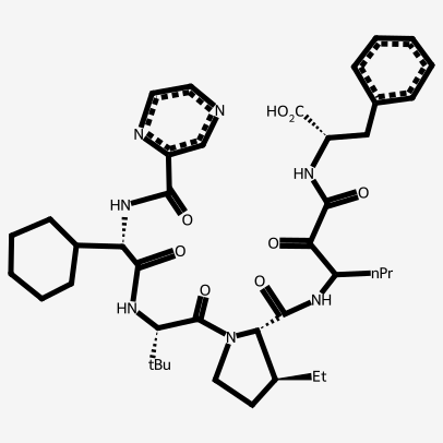 CCCC(NC(=O)[C@@H]1[C@@H](CC)CCN1C(=O)[C@@H](NC(=O)[C@@H](NC(=O)c1cnccn1)C1CCCCC1)C(C)(C)C)C(=O)C(=O)N[C@@H](Cc1ccccc1)C(=O)O